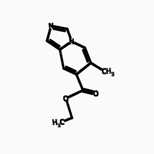 CCOC(=O)c1cc2cncn2cc1C